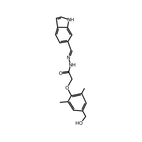 Cc1cc(CO)cc(C)c1OCC(=O)NN=Cc1ccc2cc[nH]c2c1